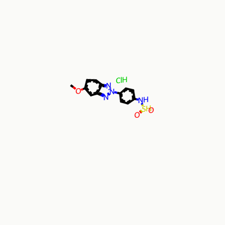 COc1ccc2nn(-c3ccc(N[SH](=O)=O)cc3)nc2c1.Cl